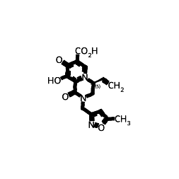 C=C[C@H]1CN(Cc2cc(C)on2)C(=O)c2c(O)c(=O)c(C(=O)O)cn21